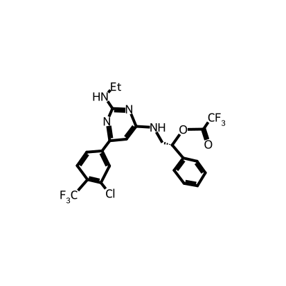 CCNc1nc(NC[C@H](OC(=O)C(F)(F)F)c2ccccc2)cc(-c2ccc(C(F)(F)F)c(Cl)c2)n1